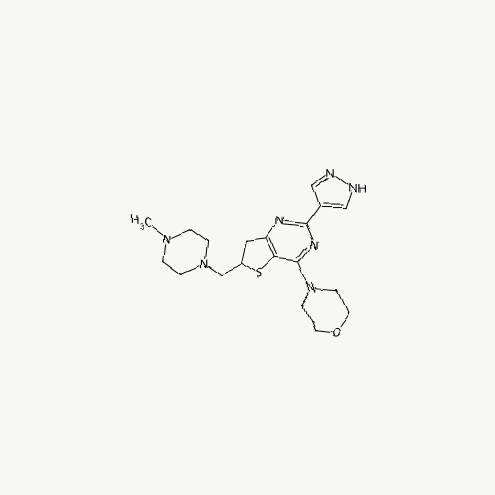 CN1CCN(CC2Cc3nc(-c4cn[nH]c4)nc(N4CCOCC4)c3S2)CC1